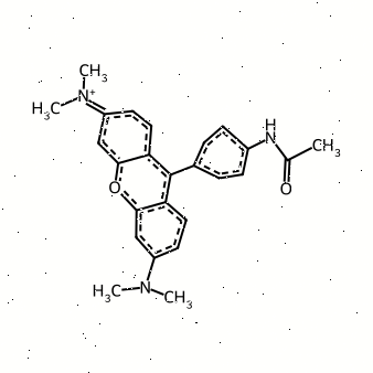 CC(=O)Nc1ccc(-c2c3ccc(=[N+](C)C)cc-3oc3cc(N(C)C)ccc23)cc1